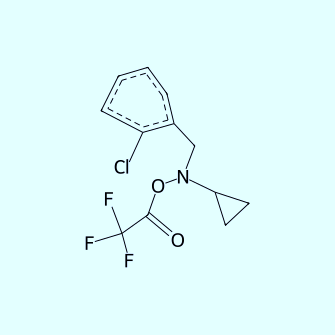 O=C(ON(Cc1ccccc1Cl)C1CC1)C(F)(F)F